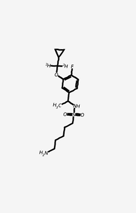 [2H]C([2H])(Oc1cc(C(C)NS(=O)(=O)CCCCCN)ccc1F)C1CC1